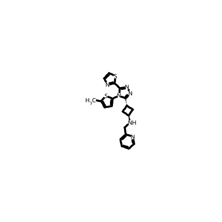 Cc1ccc(-n2c(-c3nccs3)nnc2[C@H]2C[C@H](NCc3ccccn3)C2)s1